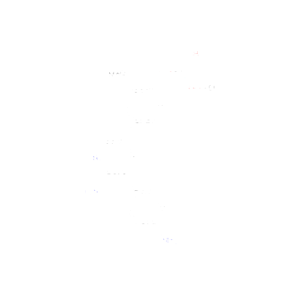 CCOC(O)Oc1ccc(-c2cnc(N)c(-c3ccc(N)cc3)c2)cc1OC